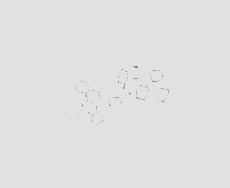 C1=CCCC(n2c3ccccc3c3c(-c4cccc(N(c5ccc(-c6ccccc6-c6ccccc6)cc5)c5cccc6ccccc56)c4)cc4ccccc4c32)=C1